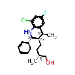 C[C@@H](CO)CC[C@@H]1[C@H](C)c2cc(F)cc(Cl)c2N[C@H]1C1C=CC=CC1